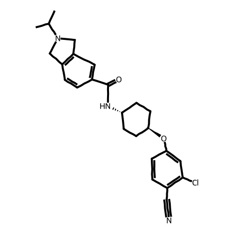 CC(C)N1Cc2ccc(C(=O)N[C@H]3CC[C@H](Oc4ccc(C#N)c(Cl)c4)CC3)cc2C1